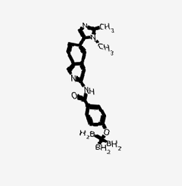 BC(B)(B)Oc1ccc(C(=O)Nc2cc3cc(-c4cnc(C)n4C)ccc3cn2)cc1